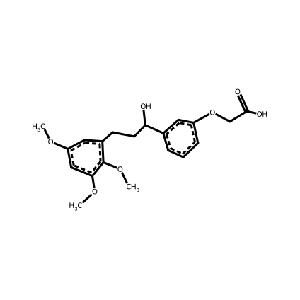 COc1cc(CCC(O)c2cccc(OCC(=O)O)c2)c(OC)c(OC)c1